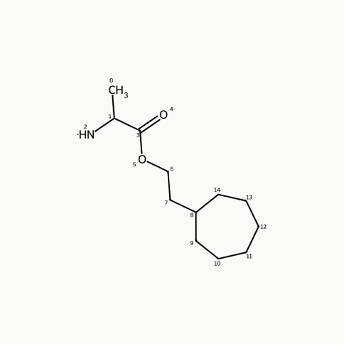 CC([NH])C(=O)OCCC1CCCCCC1